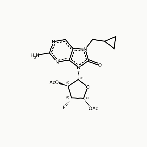 CC(=O)O[C@H]1O[C@@H](n2c(=O)n(CC3CC3)c3cnc(N)nc32)[C@H](OC(C)=O)[C@H]1F